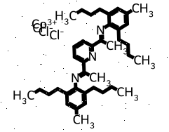 CCCCc1cc(C)cc(CCCC)c1N=C(C)c1cccc(C(C)=Nc2c(CCCC)cc(C)cc2CCCC)n1.[Cl-].[Cl-].[Cl-].[Co+3]